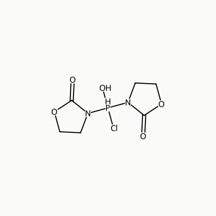 O=C1OCCN1[PH](O)(Cl)N1CCOC1=O